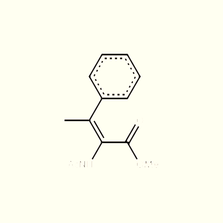 COC(=O)C(NC(C)=O)=C(C)c1ccccc1